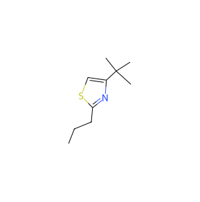 CCCc1nc(C(C)(C)C)cs1